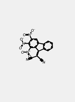 N#CC(C#N)=C1c2ccccc2-c2cc([N+](=O)[O-])c([N+](=O)[O-])c([N+](=O)[O-])c21